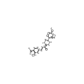 COC(=O)C(C)NC(=O)C1CCN(C(=O)C=Cc2ccc(N(C)C)c(Cl)c2)CC1